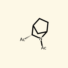 CC(=O)[C@@H]1C2CCC(C2)N1C(C)=O